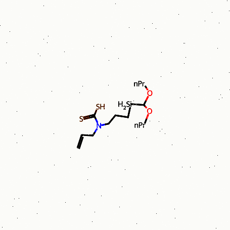 C=CCN(CCC[SiH2]C(OCCC)OCCC)C(=S)S